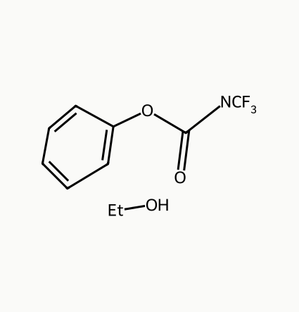 CCO.O=C(NC(F)(F)F)Oc1ccccc1